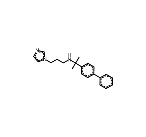 CC(C)(NCCCn1ccnc1)c1ccc(-c2ccccc2)cc1